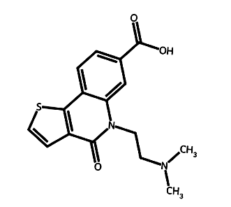 CN(C)CCn1c(=O)c2ccsc2c2ccc(C(=O)O)cc21